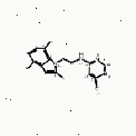 Cc1ccc(C)c2c1cc(C)n2CCNc1cc(Cl)ncn1